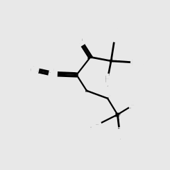 O=C=C(CCC(F)(F)F)C(=O)C(F)(F)F